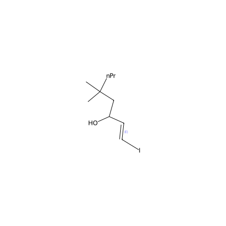 CCCC(C)(C)CC(O)/C=C/I